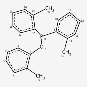 Cc1ccccc1OP(c1ccccc1C)c1ccccc1C